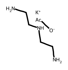 CC(=O)[O-].NCCNCCN.[K+]